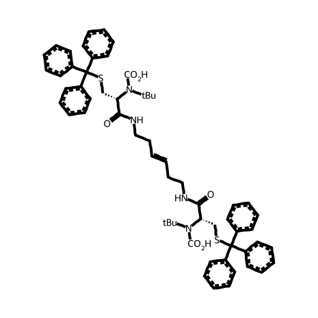 CC(C)(C)N(C(=O)O)[C@@H](CSC(c1ccccc1)(c1ccccc1)c1ccccc1)C(=O)NCC/C=C/CCNC(=O)[C@H](CSC(c1ccccc1)(c1ccccc1)c1ccccc1)N(C(=O)O)C(C)(C)C